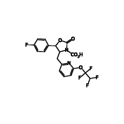 O=C(O)N1C(=O)OC(c2ccc(F)cc2)C1Cc1cccc(OC(F)(F)C(F)F)n1